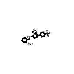 CCS(=O)(=O)c1ccc(-c2ccc(NCc3ccccc3OC)n3cnnc23)cc1